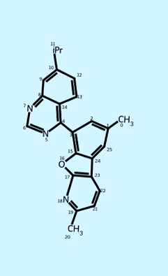 Cc1cc(-c2ncnc3cc(C(C)C)ccc23)c2oc3nc(C)ccc3c2c1